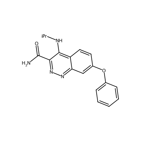 CC(C)Nc1c(C(N)=O)nnc2cc(Oc3ccccc3)ccc12